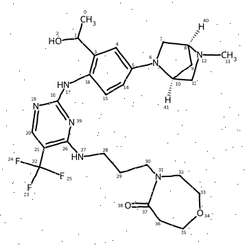 CC(O)c1cc(N2C[C@@H]3C[C@H]2CN3C)ccc1Nc1ncc(C(F)(F)F)c(NCCCN2CCOCCC2=O)n1